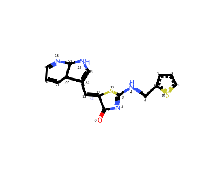 O=C1N=C(NCc2cccs2)S/C1=C\C1=CNC2N=CC=CC12